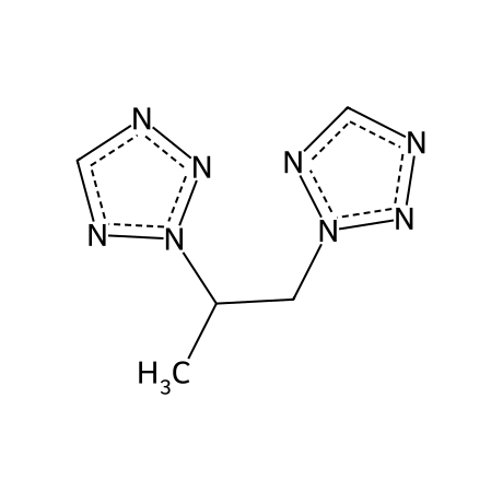 CC(Cn1ncnn1)n1ncnn1